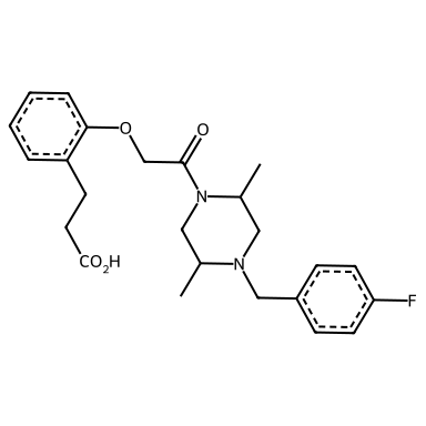 CC1CN(C(=O)COc2ccccc2CCC(=O)O)C(C)CN1Cc1ccc(F)cc1